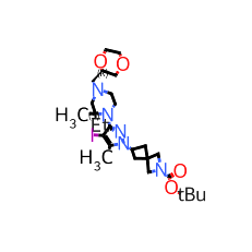 CC[C@@]1(C)CN(C[C@@H]2COCCO2)CCN1c1nn(C2CC3(C2)CN(C(=O)OC(C)(C)C)C3)c(C)c1I